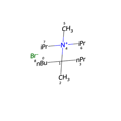 CCCCC(C)(CCC)[N+](C)(C(C)C)C(C)C.[Br-]